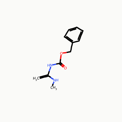 C=C(NC)NC(=O)OCc1ccccc1